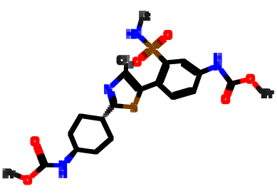 CCNS(=O)(=O)c1cc(NC(=O)OC(C)C)ccc1-c1sc([C@H]2CC[C@H](NC(=O)OC(C)C)CC2)nc1C(F)(F)F